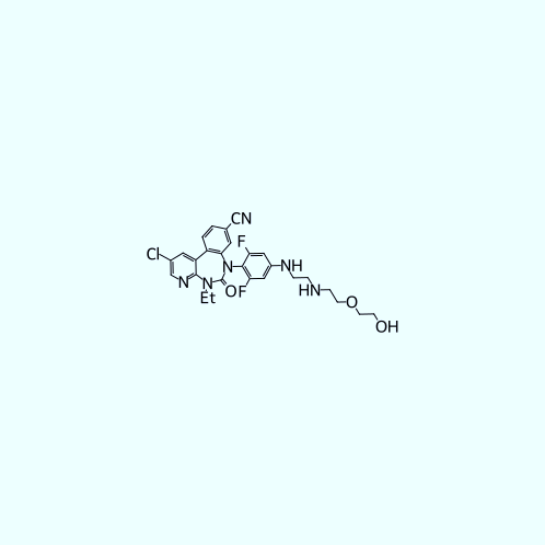 CCN1C(=O)N(c2c(F)cc(NCCNCCOCCO)cc2F)c2cc(C#N)ccc2-c2cc(Cl)cnc21